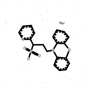 O=S(=O)([O-])C(CCN1c2ccccc2Oc2ccccc21)c1ccccn1.[Na+]